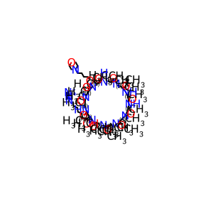 CC[C@@H]1NC(=O)[C@H]([C@H](O)[C@H](C)CCCCCN=[N+]=[N-])N(C)C(=O)[C@H](C(C)C)N(C)C(=O)[C@H](CC(C)C)N(C)C(=O)[C@H](CC(C)C)N(C)C(=O)[C@@H](C)NC(=O)[C@H](C)NC(=O)[C@H](CC(C)C)N(C)C(=O)[C@H](C(C)C)NC(=O)[C@H]([C@@H](C)OCCCCN2CCOCC2)N(C)C(=O)[C@@H](C)N(C)C1=O